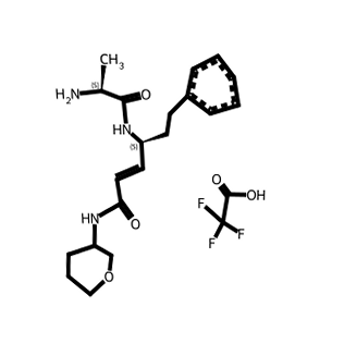 C[C@H](N)C(=O)N[C@H](C=CC(=O)NC1CCCOC1)CCc1ccccc1.O=C(O)C(F)(F)F